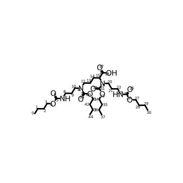 CCCCOC(=O)NCCCN(CCCC(C(=O)O)N(CCCNC(=O)OCCCC)C(=O)OCCCC)C(=O)OCCCC